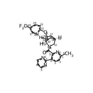 Cc1ccc(-c2ncccn2)c(C(=O)N2C[C@@H]3CC[C@H]2[C@H](Oc2ccc(C(F)(F)F)cn2)C3)n1